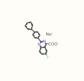 O=C([O-])c1nc(-c2ccc(-c3ccccc3)cc2)nc2ccc(F)cc12.[Na+]